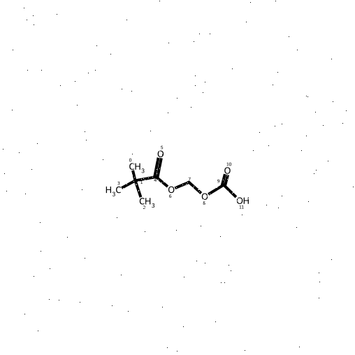 CC(C)(C)C(=O)OCOC(=O)O